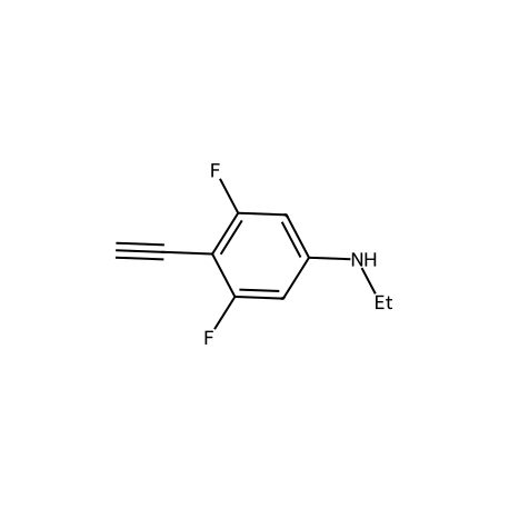 C#Cc1c(F)cc(NCC)cc1F